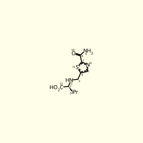 CC(C)[C@H](NCc1cnc(C(N)=O)s1)C(=O)O